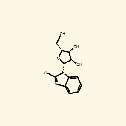 OC[C@H]1O[C@@H](n2c(Cl)nc3ccccc32)[C@H](O)[C@@H]1O